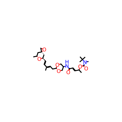 CC(C=C[C@@H]1C[C@@]2(CO2)CC(C)O1)=CCC1OCC(NC(=O)C=CC(C)OC(=O)N(C)C(C)(C)C)CO1